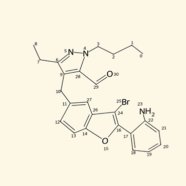 CCCCn1nc(CC)c(Cc2ccc3oc(-c4ccccc4N)c(Br)c3c2)c1C=O